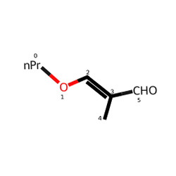 CCCO/C=C(\C)C=O